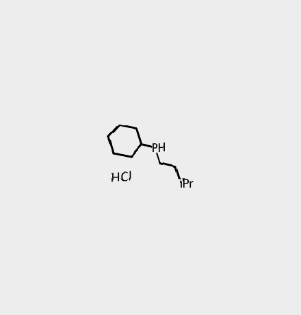 CC(C)CCPC1CCCCC1.Cl